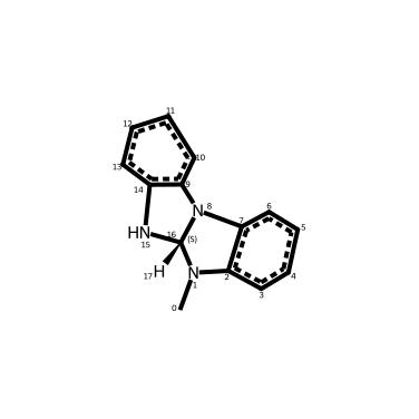 CN1c2ccccc2N2c3ccccc3N[C@@H]12